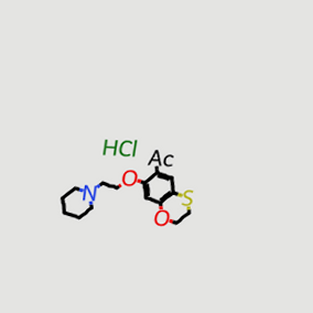 CC(=O)c1cc2c(cc1OCCN1CCCCC1)OCCS2.Cl